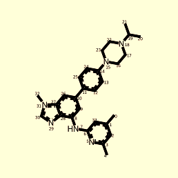 Cc1cc(C)nc(Nc2cc(-c3ccc(N4CCN(C(C)C)CC4)cc3)cc3c2ncn3C)c1